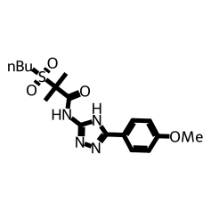 CCCCS(=O)(=O)C(C)(C)C(=O)Nc1nnc(-c2ccc(OC)cc2)[nH]1